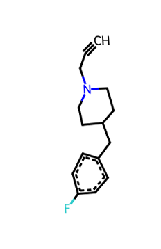 C#CCN1CCC(Cc2ccc(F)cc2)CC1